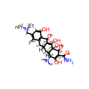 CCCN(CC)Cc1cc(O)c2c(c1F)C[C@H]1C[C@H]3[C@H](N(C)C)C(O)=C(C(N)=O)C(=O)[C@@]3(O)C(O)=C1C2=O